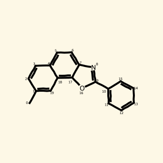 Cc1ccc2ccc3nc(-c4ccccc4)oc3c2c1